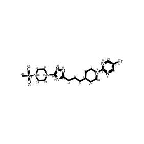 CCc1cnc(N2CCC(CCCc3nc(N4CCN(S(C)(=O)=O)CC4)no3)CC2)nc1